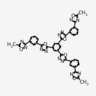 Cc1nc(-c2cccc(-c3nnc(-c4cc(-c5nnc(-c6cccc(-c7noc(C)n7)c6)o5)cc(-c5nnc(-c6cccc(-c7noc(C)n7)c6)o5)c4)o3)c2)no1